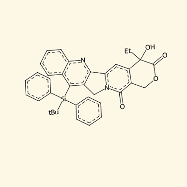 CCC1(O)C(=O)OCc2c1cc1n(c2=O)Cc2c-1nc1ccccc1c2[Si](c1ccccc1)(c1ccccc1)C(C)(C)C